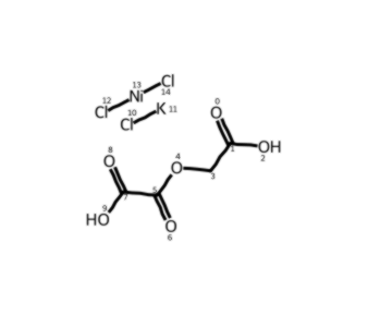 O=C(O)COC(=O)C(=O)O.[Cl][K].[Cl][Ni][Cl]